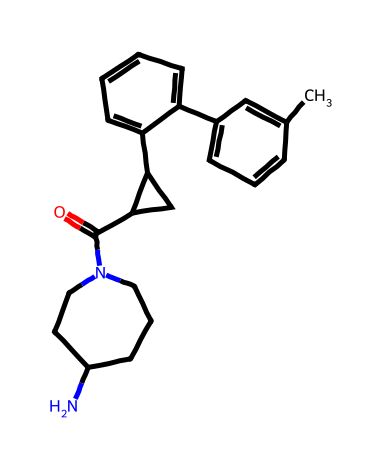 Cc1cccc(-c2ccccc2C2CC2C(=O)N2CCCC(N)CC2)c1